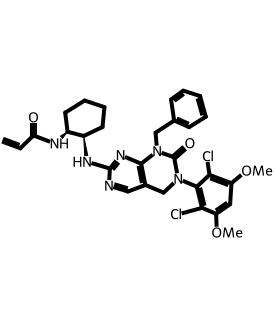 C=CC(=O)N[C@H]1CCCC[C@H]1Nc1ncc2c(n1)N(Cc1ccccc1)C(=O)N(c1c(Cl)c(OC)cc(OC)c1Cl)C2